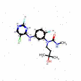 CNC(=O)N(CCC(C)(C)O)c1cc(Nc2nc(F)ncc2Cl)ccc1F